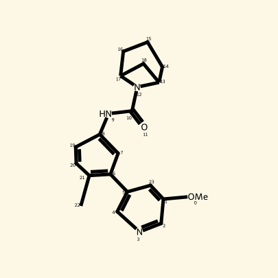 COc1cncc(-c2cc(NC(=O)N3C4CCCC3C4)ccc2C)c1